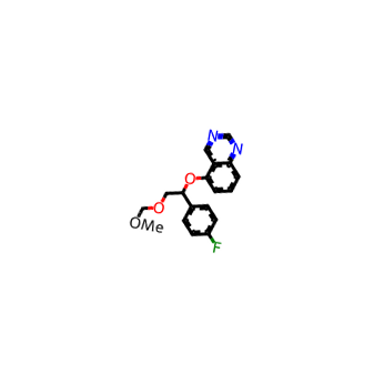 COCOCC(Oc1cccc2ncncc12)c1ccc(F)cc1